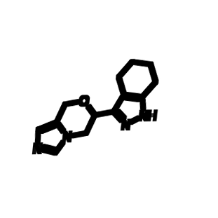 c1ncn2c1COC(c1n[nH]c3c1CCCC3)C2